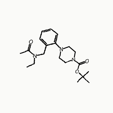 CCN(Cc1ccccc1N1CCN(C(=O)OC(C)(C)C)CC1)C(C)=O